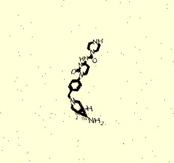 C[C@]12CN(Cc3ccc(-n4ccc(NC(=O)N5CCNCC5)nc4=O)cc3)C[C@H]1[C@@H]2N